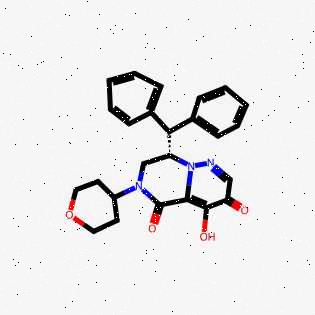 O=C1c2c(O)c(=O)cnn2[C@@H](C(c2ccccc2)c2ccccc2)CN1C1CCOCC1